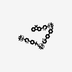 CC(C)(CCC1(C)OB(c2ccc(-c3ccc(-c4ccc(CC5(C)OB(c6ccc(-c7ccc8c(c7)C(C)(C)c7ccccc7-8)nc6)OC5(C)C)cc4)cc3)nc2)OC1(C)C)c1ccc(-c2ccc(B3OC(C)(C)C(C)(C)O3)cn2)cc1